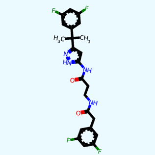 CC(C)(c1cc(F)cc(F)c1)c1cc(NC(=O)CCNC(=O)Cc2cc(F)cc(F)c2)[nH]n1